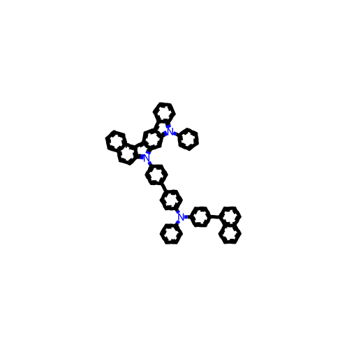 c1ccc(N(c2ccc(-c3ccc(-n4c5cc6c(cc5c5c7ccccc7ccc54)c4ccccc4n6-c4ccccc4)cc3)cc2)c2ccc(-c3cccc4ccccc34)cc2)cc1